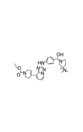 CCOC(=O)N1CC=C(c2cccn3nc(Nc4ccc(C(O)N5CC[C@H](N(C)C)C5)cc4)nc23)CC1